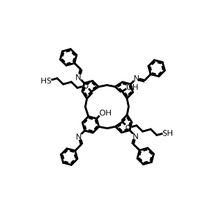 Oc1c2cc(/N=C/c3ccccc3)cc1Cc1cc(/N=C/c3ccccc3)cc(c1OCCCCS)Cc1cc(/N=C/c3ccccc3)cc(c1O)Cc1cc(/N=C/c3ccccc3)cc(c1OCCCCS)C2